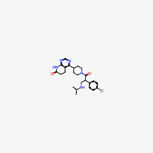 CC(C)NCC(C(=O)N1CCC(c2ncnc3c2CCC(=O)N3)CC1)c1ccc(Cl)cc1